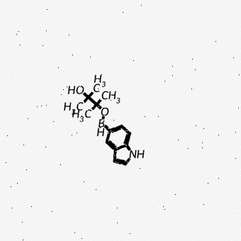 CC(C)(O)C(C)(C)OBc1ccc2[nH]ccc2c1